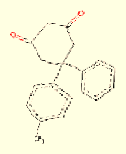 O=C1CC(=O)CC(c2ccccc2)(c2ccc(C(F)(F)F)cc2)C1